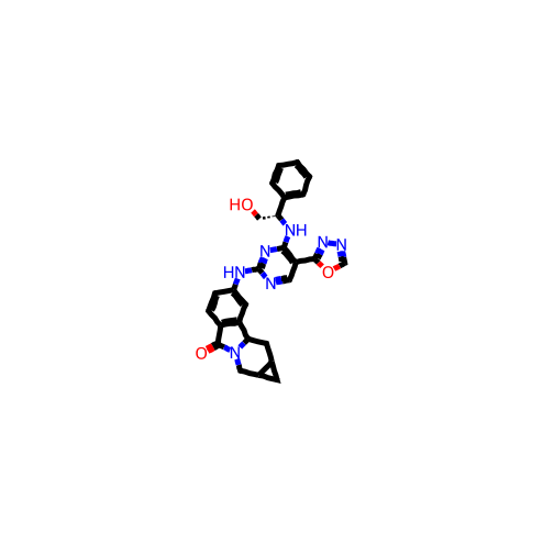 O=C1c2ccc(Nc3ncc(-c4nnco4)c(N[C@H](CO)c4ccccc4)n3)cc2C2CC3CC3CN12